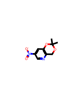 CC1(C)OCc2ncc([N+](=O)[O-])cc2O1